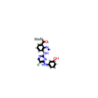 C=Nc1c(Nc2ncc(F)c(Nc3cccc(O)c3)n2)cccc1C(=O)NC